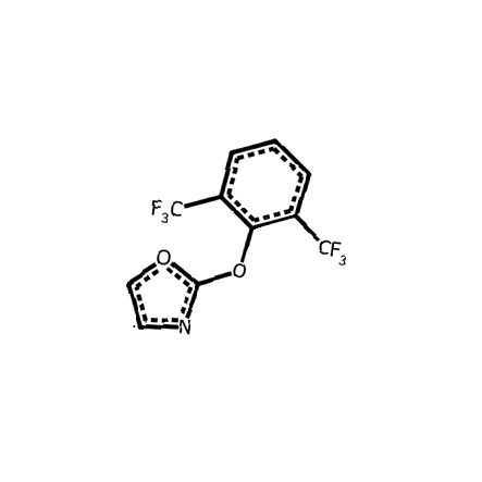 FC(F)(F)c1cccc(C(F)(F)F)c1Oc1n[c]co1